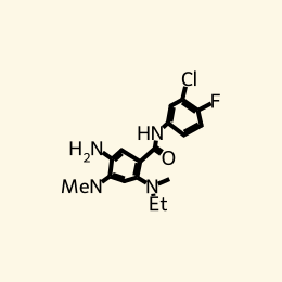 CCN(C)c1cc(NC)c(N)cc1C(=O)Nc1ccc(F)c(Cl)c1